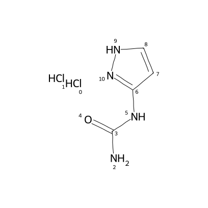 Cl.Cl.NC(=O)Nc1cc[nH]n1